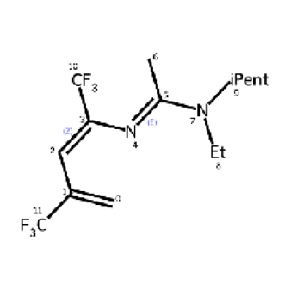 C=C(/C=C(\N=C(/C)N(CC)C(C)CCC)C(F)(F)F)C(F)(F)F